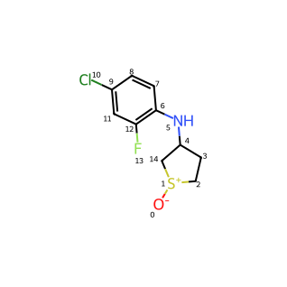 [O-][S+]1CCC(Nc2ccc(Cl)cc2F)C1